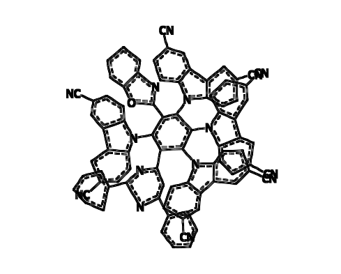 N#Cc1ccc2c(c1)c1cc(C#N)ccc1n2-c1c(-c2cc(-c3ccccc3)nc(-c3ccccc3)n2)c(-n2c3ccc(C#N)cc3c3cc(C#N)ccc32)c(-n2c3ccc(C#N)cc3c3cc(C#N)ccc32)c(-n2c3ccc(C#N)cc3c3cc(C#N)ccc32)c1-c1nc2ccccc2o1